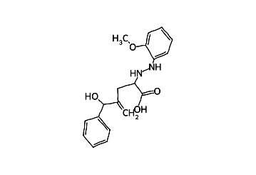 C=C(CC(NNc1ccccc1OC)C(=O)O)C(O)c1ccccc1